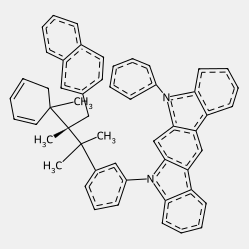 CC1([C@](C)(Cc2ccc3ccccc3c2)C(C)(C)c2cccc(-n3c4ccccc4c4cc5c6ccccc6n(-c6ccccc6)c5cc43)c2)C=CC=CC1